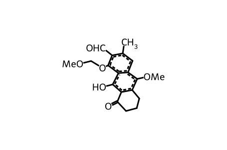 COCOc1c(C=O)c(C)cc2c(OC)c3c(c(O)c12)C(=O)CCC3